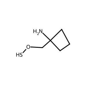 NC1(COS)CCC1